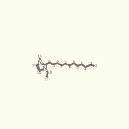 CCCCCCCCCCCCC1N(C)C=CN1CC